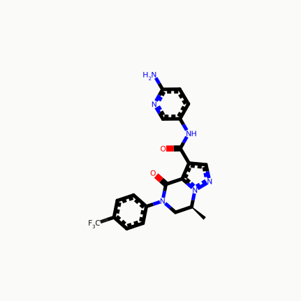 C[C@H]1CN(c2ccc(C(F)(F)F)cc2)C(=O)c2c(C(=O)Nc3ccc(N)nc3)cnn21